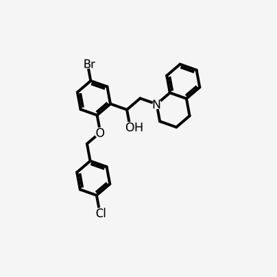 OC(CN1CCCc2ccccc21)c1cc(Br)ccc1OCc1ccc(Cl)cc1